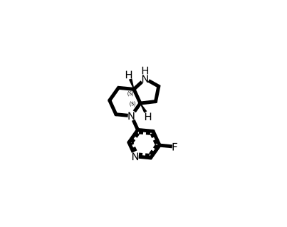 Fc1cncc(N2CCC[C@@H]3NCC[C@@H]32)c1